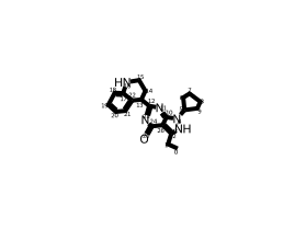 CCc1[nH]n(C2CCCC2)c2nc(C3CCNc4ccccc43)nc(=O)c1-2